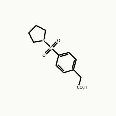 O=C(O)Cc1ccc(S(=O)(=O)N2CCCC2)cc1